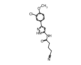 COc1ccc(-c2cc(NC(=O)CCCC#N)[nH]n2)cc1Cl